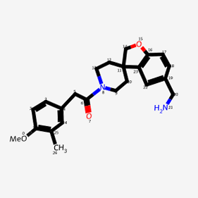 COc1ccc(CC(=O)N2CCC3(CC2)COc2ccc(CN)cc23)cc1C